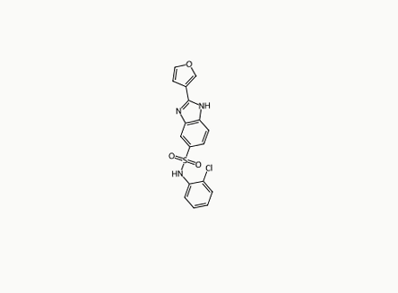 O=S(=O)(Nc1ccccc1Cl)c1ccc2[nH]c(-c3ccoc3)nc2c1